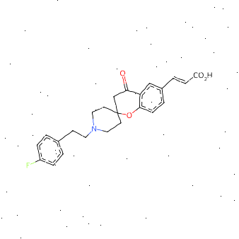 O=C(O)C=Cc1ccc2c(c1)C(=O)CC1(CCN(CCc3ccc(F)cc3)CC1)O2